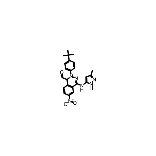 Cc1cc(NC2=NN(c3ccc(C(C)(C)C)cc3)C(C=O)c3ccc([N+](=O)[O-])cc32)[nH]n1